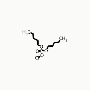 CCCC=COP(=O)(OCl)OC=CCCC